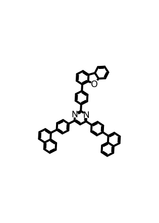 C1=CC2Oc3c(-c4ccc(-c5nc(-c6ccc(-c7cccc8ccccc78)cc6)cc(-c6ccc(-c7cccc8ccccc78)cc6)n5)cc4)cccc3C2C=C1